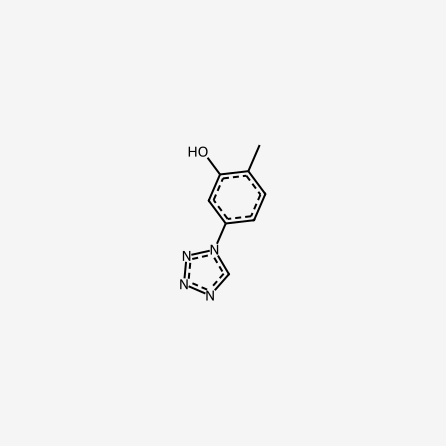 Cc1ccc(-n2cnnn2)cc1O